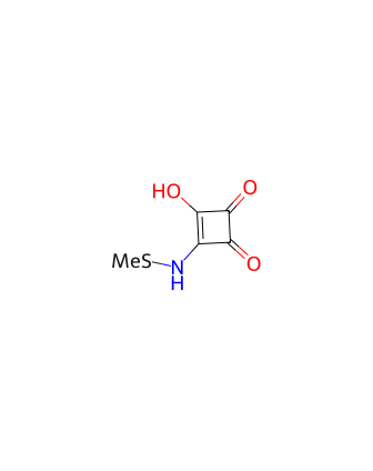 CSNc1c(O)c(=O)c1=O